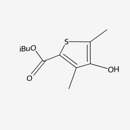 Cc1sc(C(=O)OCC(C)C)c(C)c1O